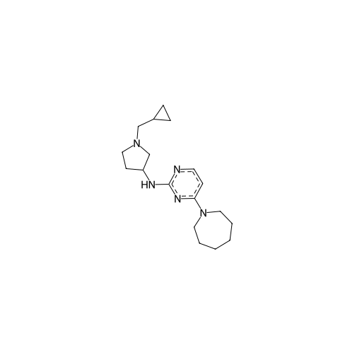 c1cc(N2CCCCCC2)nc(NC2CCN(CC3CC3)C2)n1